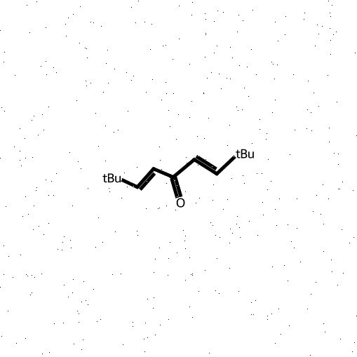 CC(C)(C)/C=C/C(=O)/C=C/C(C)(C)C